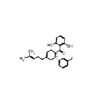 CC(C)=CCCC1=CC[C@@H](C(=O)c2c(O)cccc2O)[C@H](c2cccc(F)c2)C1